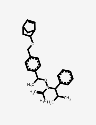 C=C(C)N(OC(C)c1ccc(COC2CC3C=CC2C3)cc1)C(c1ccccc1)C(C)C